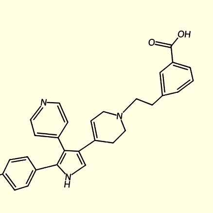 O=C(O)c1cccc(CCN2CC=C(c3c[nH]c(-c4ccc(F)cc4)c3-c3ccncc3)CC2)c1